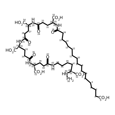 O=C(O)CCCCCCCCCCCCCCCCC(=O)N[C@@H](CCC(=O)N[C@@H](CCC(=O)N[C@@H](CCC(=O)N[C@@H](CCC(=O)NCCCC[C@H](NP)C(=O)O)C(=O)O)C(=O)O)C(=O)O)C(=O)O